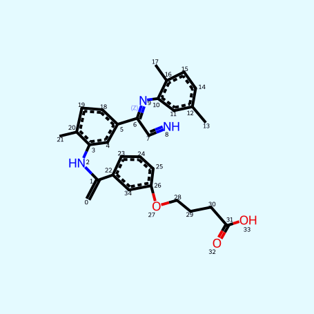 C=C(Nc1cc(/C(C=N)=N/c2cc(C)ccc2C)ccc1C)c1cccc(OCCCC(=O)O)c1